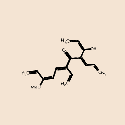 C=C/C=C(C(=O)/C(C=C)=C/C=C(\C=C)OC)\C(O)=C/C